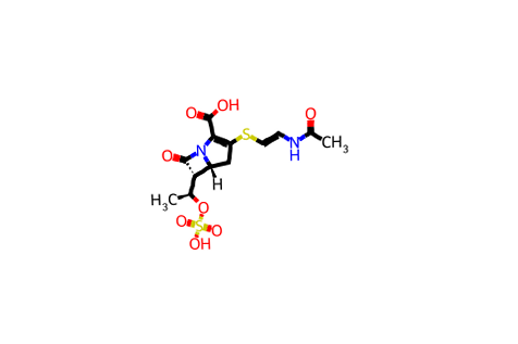 CC(=O)N/C=C/SC1=C(C(=O)O)N2C(=O)[C@@H]([C@H](C)OS(=O)(=O)O)[C@H]2C1